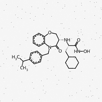 CC(C)c1ccc(CN2C(=O)[C@@H](N[C@@H](CC3CCCCC3)C(=O)NO)COc3ccccc32)cc1